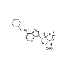 CC1(C)O[C@@H]2[C@@H](O1)[C@H](n1cnc3c(NCC4CCCCC4)ncnc31)O[C@H]2C=O